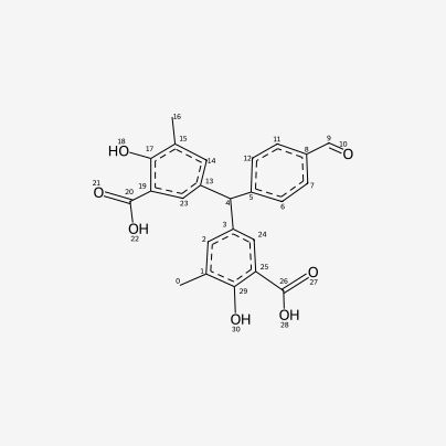 Cc1cc(C(c2ccc(C=O)cc2)c2cc(C)c(O)c(C(=O)O)c2)cc(C(=O)O)c1O